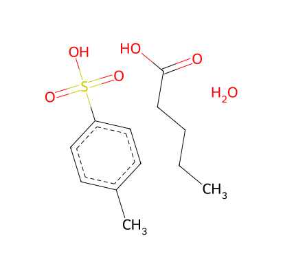 CCCCC(=O)O.Cc1ccc(S(=O)(=O)O)cc1.O